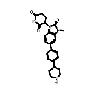 Cn1c(=O)n(C2CCC(=O)NC2=O)c2ccc(-c3ccc(C4CCNCC4)cc3)cc21